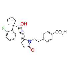 O=C(O)c1ccc(CCN2C(=O)CC[C@@H]2/C=C/[C@@H](O)C2(c3ccccc3F)CCCC2)cc1